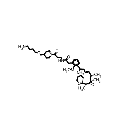 COc1c(CC(=O)NCCC(=O)N2CCC(COCCCCN)CC2)cccc1/C(C)=C/C=C/[C@@H](C)C[C@@]1(C)O[C@@H]1[C@H](C)[C@@H]1CCCCO1